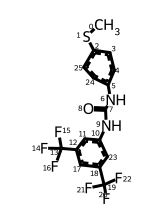 CSc1ccc(NC(=O)Nc2cc(C(F)(F)F)cc(C(F)(F)F)c2)cc1